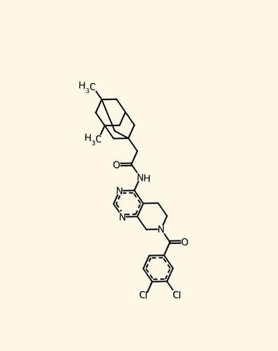 CC12CC3CC(C)(C1)CC(CC(=O)Nc1ncnc4c1CCN(C(=O)c1ccc(Cl)c(Cl)c1)C4)(C3)C2